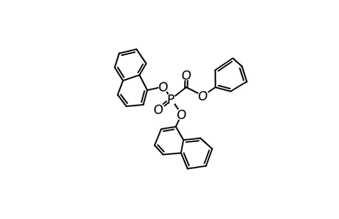 O=C(Oc1ccccc1)P(=O)(Oc1cccc2ccccc12)Oc1cccc2ccccc12